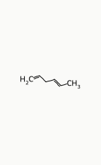 C=CCC=CC